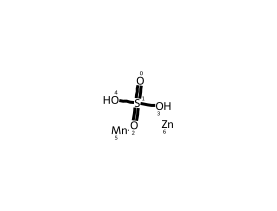 O=S(=O)(O)O.[Mn].[Zn]